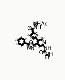 CCNC(=O)Nc1cc(-c2nnc(-c3ccccc3)o2)c(-c2ncc(C(=O)NNC(C)=O)s2)cn1